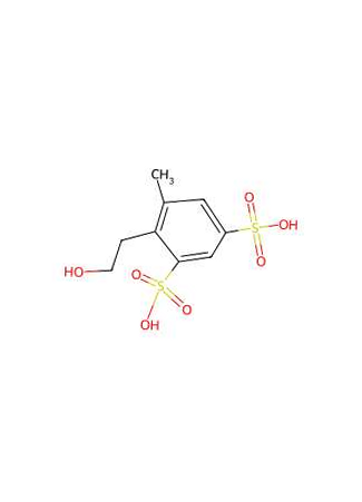 Cc1cc(S(=O)(=O)O)cc(S(=O)(=O)O)c1CCO